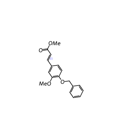 COC(=O)/C=C/c1ccc(OCc2ccccc2)c(OC)c1